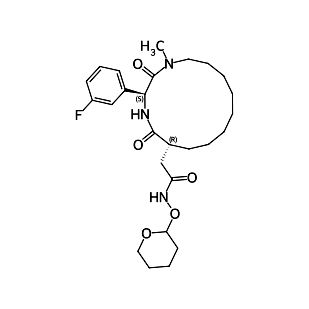 CN1CCCCCCCC[C@H](CC(=O)NOC2CCCCO2)C(=O)N[C@@H](c2cccc(F)c2)C1=O